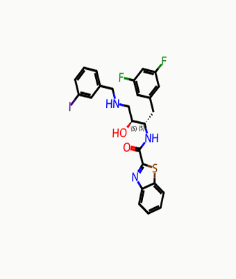 O=C(N[C@@H](Cc1cc(F)cc(F)c1)[C@@H](O)CNCc1cccc(I)c1)c1nc2ccccc2s1